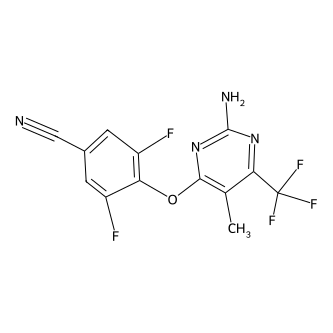 Cc1c(Oc2c(F)cc(C#N)cc2F)nc(N)nc1C(F)(F)F